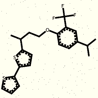 CC(C)c1ccc(OCCC(C)c2ccc(-c3cccs3)s2)c(C(F)(F)F)c1